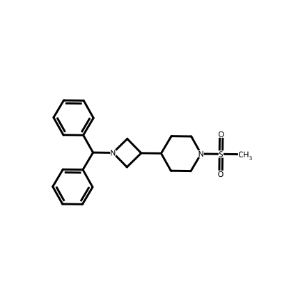 CS(=O)(=O)N1CCC(C2CN(C(c3ccccc3)c3ccccc3)C2)CC1